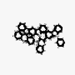 c1ccc(-n2c3ccccc3c3ccc(-c4nc5ccccc5nc4-n4c5ccccc5c5cc6c(cc54)C4(c5ccccc5Sc5ccccc54)c4ccccc4-6)cc32)cc1